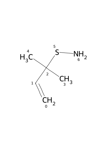 C=CC(C)(C)SN